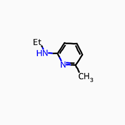 CCNc1cccc(C)n1